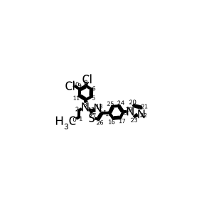 CCCN(c1ccc(Cl)c(Cl)c1)c1nc(-c2ccc(-n3ccnc3)cc2)cs1